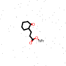 CCCOC(=O)CCC1CCCCC1=O